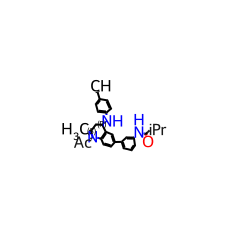 C#Cc1ccc(N[C@@H]2C[C@H](C)N(C(C)=O)c3ccc(-c4cccc(NC(=O)C(C)C)c4)cc32)cc1